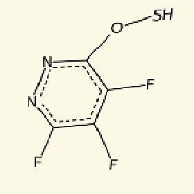 Fc1nnc(OS)c(F)c1F